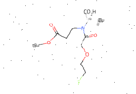 CC[C@H](C)[C@@H](C(=O)O)N(CCC(=O)OC(C)(C)C)C(=O)COCCF